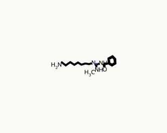 CN/C(=N\CCCCCCCCN)NC(=O)c1ccccc1